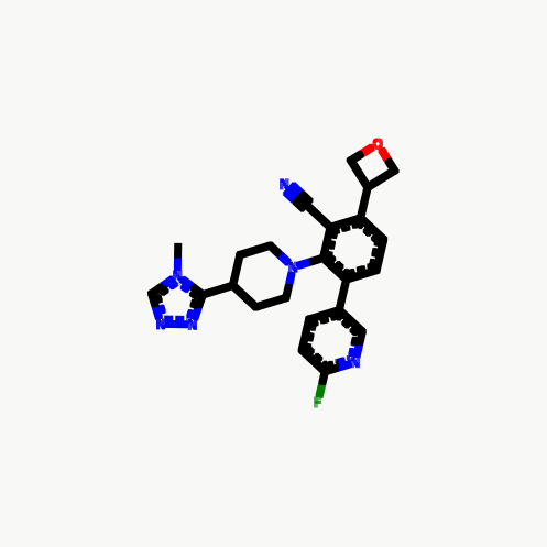 Cn1cnnc1C1CCN(c2c(-c3ccc(F)nc3)ccc(C3COC3)c2C#N)CC1